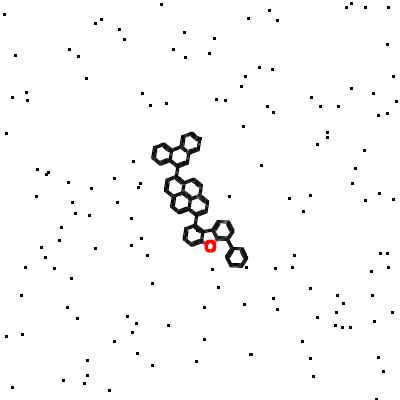 c1ccc(-c2cccc3c2oc2cccc(-c4ccc5ccc6c(-c7cc8ccccc8c8ccccc78)ccc7ccc4c5c76)c23)cc1